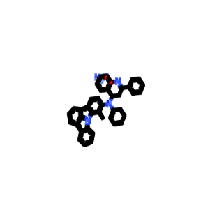 Cc1c(N(C2=CC=CCC2)C(C/C(=N\CN)c2ccccc2)c2ccccc2)ccc2c3cccc4c5ccccc5n(c12)c43